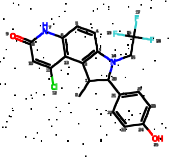 CC1c2c(ccc3[nH]c(=O)cc(Cl)c23)N(CC(F)(F)F)C1c1ccc(O)cc1